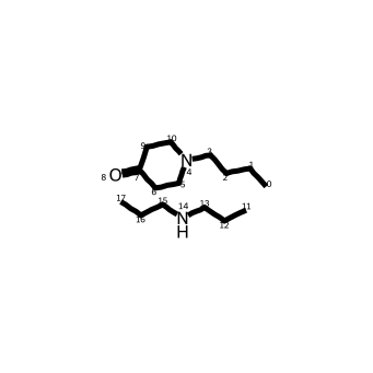 CCCCN1CCC(=O)CC1.CCCNCCC